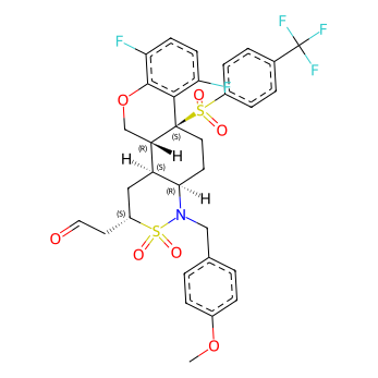 COc1ccc(CN2[C@@H]3CC[C@@]4(S(=O)(=O)c5ccc(C(F)(F)F)cc5)c5c(F)ccc(F)c5OC[C@H]4[C@@H]3C[C@@H](CC=O)S2(=O)=O)cc1